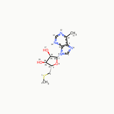 CSC[C@H]1O[C@@H](n2cnc3c(C)ncnc32)[C@H](O)[C@@H]1O